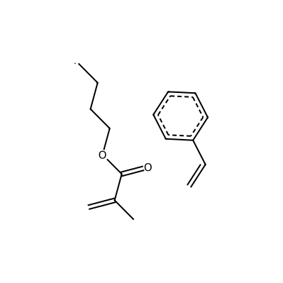 C=Cc1ccccc1.[CH2]CCCOC(=O)C(=C)C